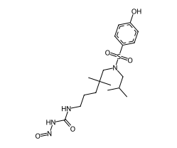 CC(C)CN(CC(C)(C)CCCNC(=O)NN=O)S(=O)(=O)c1ccc(O)cc1